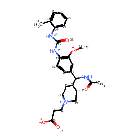 COc1cc(C(NC(C)=O)C2CCN(CCC(=O)O)CC2)ccc1NC(=O)Nc1ccccc1C